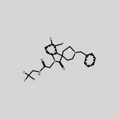 O=C(CN1C(=O)C2(CCN(Cc3ccccc3)CC2)c2c1ccc(F)c2F)NCC(F)(F)F